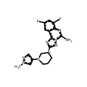 Cn1cc(N2CCC[C@H](c3nc4c5cc(F)cc(F)c5nc(N)n4n3)C2)cn1